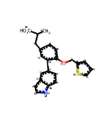 CC(Cc1ccc(OCc2cccs2)c(-c2ccc3[nH]ccc3c2)c1)C(=O)O